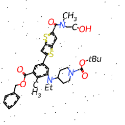 CCN(c1cc(-c2cc3sc(C(=O)N(C)CCO)cc3s2)cc(C(=O)OCc2ccccc2)c1C)C1CCN(C(=O)OC(C)(C)C)CC1